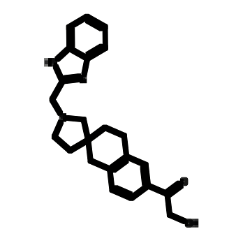 O=C(CO)c1ccc2c(c1)CCC1(CCN(Cc3nc4ccccc4[nH]3)C1)C2